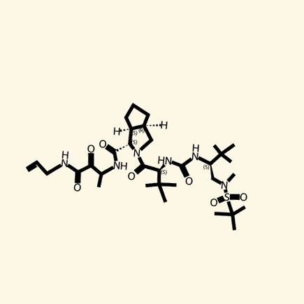 C=CCNC(=O)C(=O)C(C)NC(=O)[C@@H]1[C@H]2CCC[C@H]2CN1C(=O)[C@@H](NC(=O)N[C@H](CN(C)S(=O)(=O)C(C)(C)C)C(C)(C)C)C(C)(C)C